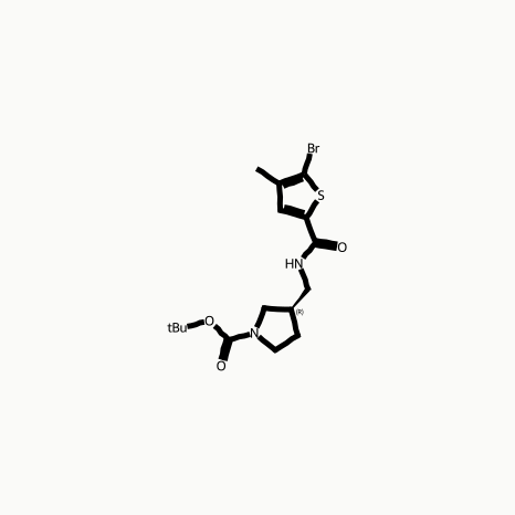 Cc1cc(C(=O)NC[C@H]2CCN(C(=O)OC(C)(C)C)C2)sc1Br